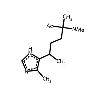 CNC(C)(CCC(C)c1[nH]cnc1C)C(C)=O